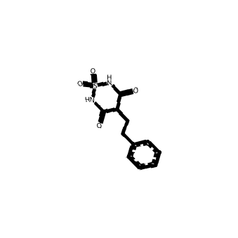 O=C1NS(=O)(=O)NC(=O)C1CCc1ccccc1